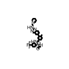 CC(=O)Nc1ccc(C(F)(F)F)cc1NC(=O)c1ccc(C)c(-c2ccc3nc(NCCN4CCCCC4)ncc3c2)c1